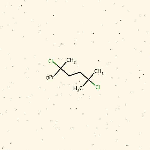 CCCC(C)(Cl)CCC(C)(C)Cl